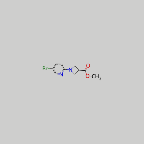 COC(=O)C1CN(c2ccc(Br)cn2)C1